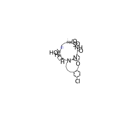 C[C@@H]1[C@@H](C)C/C=C/[C@@](C)(O)[C@@H]2CC[C@H]2CN2CCCCc3cc(Cl)ccc3COc3ccc(nc32)C(=O)NS1(=O)=O